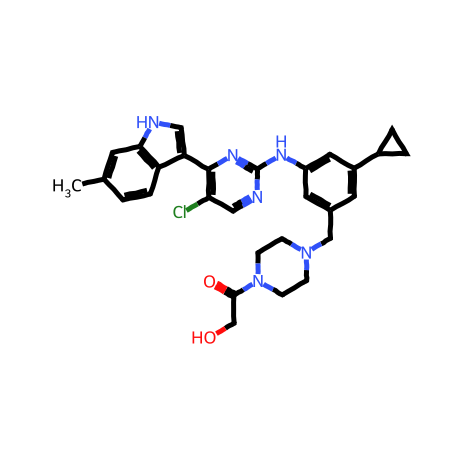 Cc1ccc2c(-c3nc(Nc4cc(CN5CCN(C(=O)CO)CC5)cc(C5CC5)c4)ncc3Cl)c[nH]c2c1